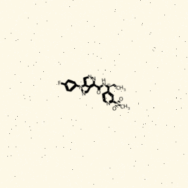 CC[C@H](NC(=O)c1nncc2c1cnn2-c1ccc(F)cc1)c1ccnc(S(C)(=O)=O)c1